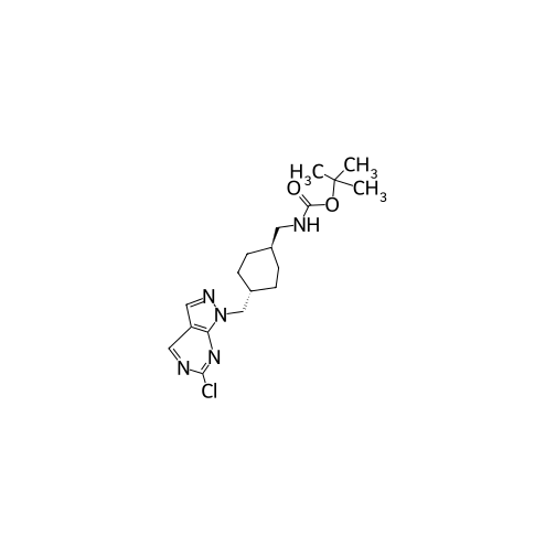 CC(C)(C)OC(=O)NC[C@H]1CC[C@H](Cn2ncc3cnc(Cl)nc32)CC1